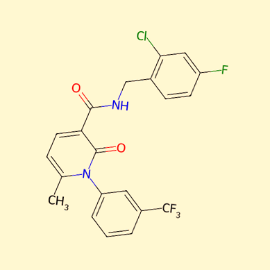 Cc1ccc(C(=O)NCc2ccc(F)cc2Cl)c(=O)n1-c1cccc(C(F)(F)F)c1